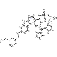 CCCCC(CC)COc1ccc2nc(/N=N\c3ccc(N(c4cccs4)c4cccs4)cc3NS(=O)(=O)CC(C)C)sc2c1